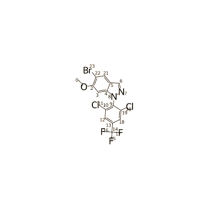 COc1cc2c(cnn2-c2c(Cl)cc(C(F)(F)F)cc2Cl)cc1Br